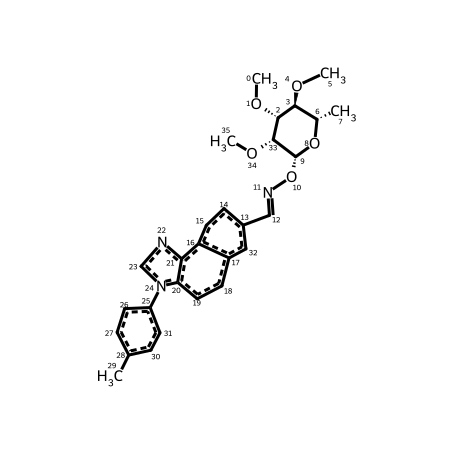 CO[C@@H]1[C@@H](OC)[C@H](C)O[C@H](O/N=C/c2ccc3c(ccc4c3ncn4-c3ccc(C)cc3)c2)[C@@H]1OC